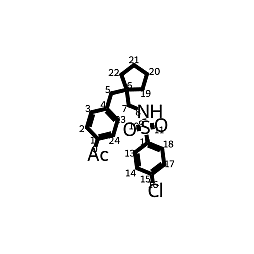 CC(=O)c1ccc(CC2(CNS(=O)(=O)c3ccc(Cl)cc3)CCCC2)cc1